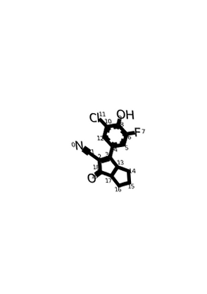 N#CC1=C(c2cc(F)c(O)c(Cl)c2)C2CCCC2C1=O